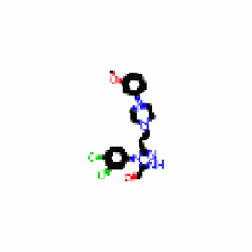 COc1cccc(N2CCN(CCC3=NNC(C=O)N3c3ccc(Cl)c(Cl)c3)CC2)c1